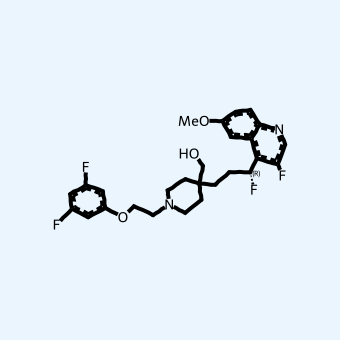 COc1ccc2ncc(F)c([C@H](F)CCC3(CO)CCN(CCOc4cc(F)cc(F)c4)CC3)c2c1